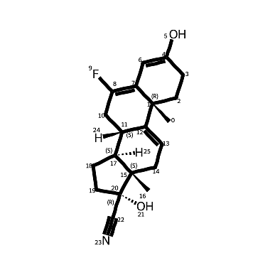 C[C@]12CCC(O)=CC1=C(F)C[C@@H]1C2=CC[C@@]2(C)[C@H]1CC[C@]2(O)C#N